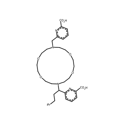 CC(C)CCC(c1cccc(C(=O)O)n1)N1CCOCCOCCN(Cc2cccc(C(=O)O)n2)CCOCCOCC1